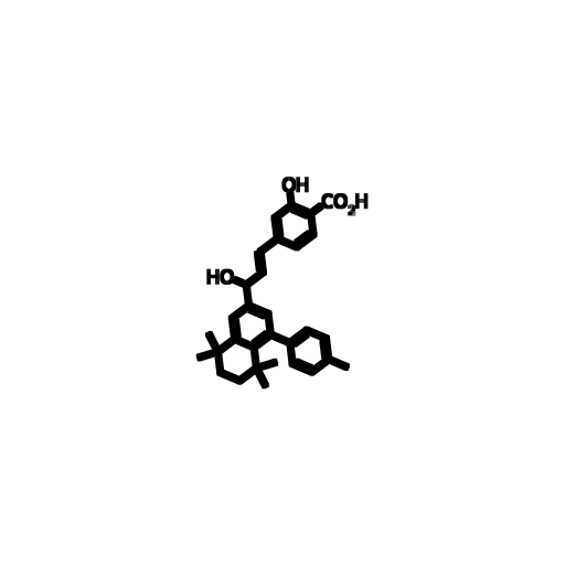 Cc1ccc(-c2cc(C(O)C=Cc3ccc(C(=O)O)c(O)c3)cc3c2C(C)(C)CCC3(C)C)cc1